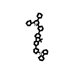 CC1(C)c2cc(-c3cccc(-c4cc(-c5ccccc5)cc(-c5ccccc5)n4)c3)ccc2-c2ccc(-c3cccc(-n4c5ccccc5c5ccccc54)c3)cc21